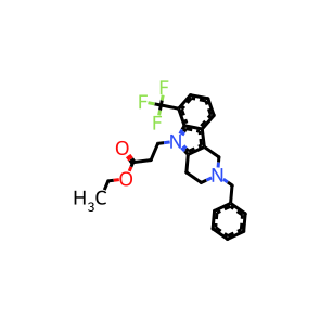 CCOC(=O)CCn1c2c(c3cccc(C(F)(F)F)c31)CN(Cc1ccccc1)CC2